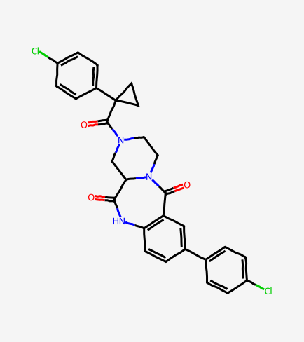 O=C1Nc2ccc(-c3ccc(Cl)cc3)cc2C(=O)N2CCN(C(=O)C3(c4ccc(Cl)cc4)CC3)CC12